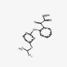 CNC(=O)C(=O)c1ccccc1Oc1nccc(OC(C)C(F)(F)F)n1